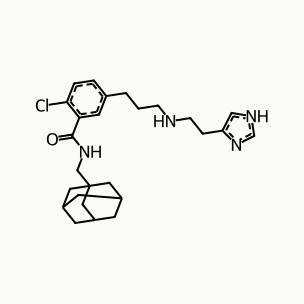 O=C(NCC12CC3CC(CC(C3)C1)C2)c1cc(CCCNCCc2c[nH]cn2)ccc1Cl